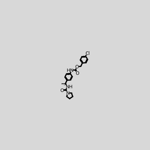 C[C@H](NC(=O)N1CCCC1)c1ccc(NC(=O)OCc2ccc(Cl)cc2)cc1